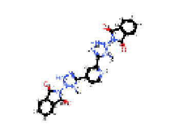 CN1C(c2ccnc(C3=NNN(N4C(=O)c5ccccc5C4=O)N3C)c2)=NNN1N1C(=O)c2ccccc2C1=O